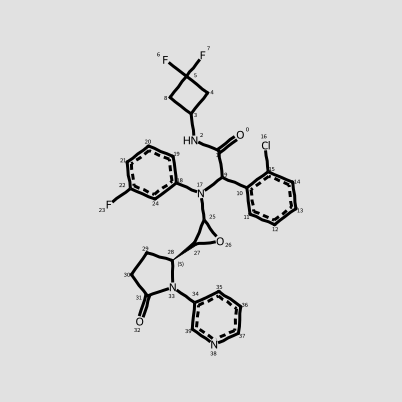 O=C(NC1CC(F)(F)C1)C(c1ccccc1Cl)N(c1cccc(F)c1)C1OC1[C@@H]1CCC(=O)N1c1cccnc1